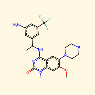 COc1cc2c(cc1N1CCNCC1)c(NC(C)c1cc(N)cc(C(F)(F)F)c1)nc(=O)n2C